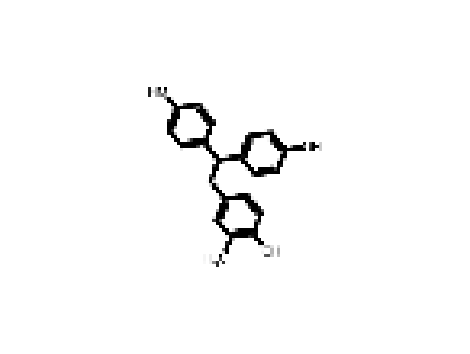 Cc1cc(CC(c2ccc(O)cc2)c2ccc(O)cc2)ccc1O